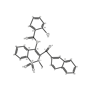 CN1C(C(=O)c2ccc3ccccc3c2)=C(OC(=O)c2ccccc2Cl)c2ccccc2S1(=O)=O